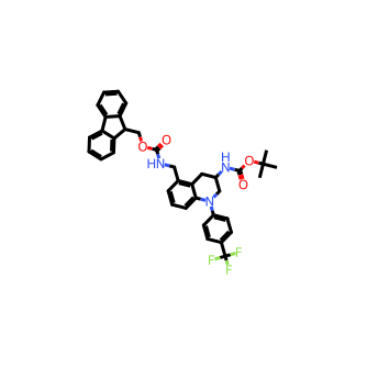 CC(C)(C)OC(=O)NC1Cc2c(CNC(=O)OCC3c4ccccc4-c4ccccc43)cccc2N(c2ccc(C(F)(F)F)cc2)C1